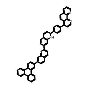 C1=CC(c2ccc(-c3ccnc4c3ccc3cccnc34)cc2)Nc2cc(-c3ccc4ccc(-c5ccc6c7ccccc7c7ccccc7c6c5)cc4n3)ccc21